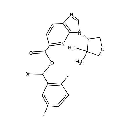 CC1(C)COC[C@H]1n1cnc2ccc(C(=O)OC(Br)c3cc(F)ccc3F)nc21